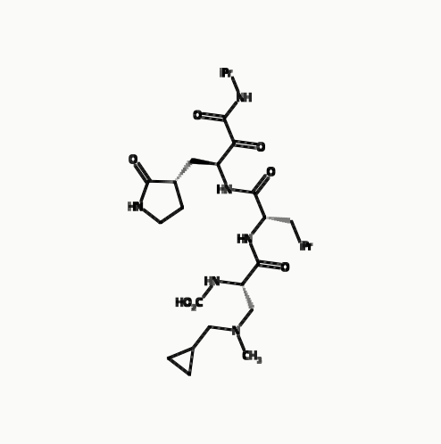 CC(C)C[C@H](NC(=O)[C@H](CN(C)CC1CC1)NC(=O)O)C(=O)N[C@@H](C[C@@H]1CCNC1=O)C(=O)C(=O)NC(C)C